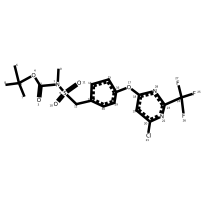 CN(C(=O)OC(C)(C)C)S(=O)(=O)Cc1ccc(Oc2cc(Cl)nc(C(F)(F)F)n2)cc1